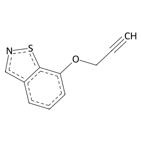 C#CCOc1cccc2cnsc12